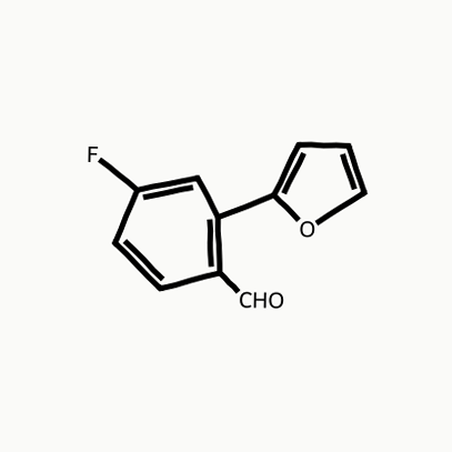 O=Cc1ccc(F)cc1-c1ccco1